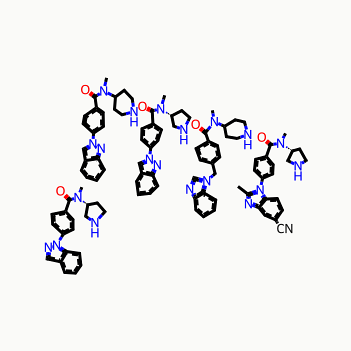 CN(C(=O)c1ccc(-n2cc3ccccc3n2)cc1)C1CCNCC1.CN(C(=O)c1ccc(-n2cc3ccccc3n2)cc1)[C@@H]1CCNC1.CN(C(=O)c1ccc(-n2ncc3ccccc32)cc1)[C@@H]1CCNC1.CN(C(=O)c1ccc(Cn2cnc3ccccc32)cc1)C1CCNCC1.Cc1nc2cc(C#N)ccc2n1-c1ccc(C(=O)N(C)[C@@H]2CCNC2)cc1